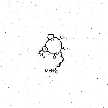 C/C=C1\CC2CC(=O)OC(/C=C/C=C\C=C\CC(=O)NC)C(C)/C=C/C(C)CC3CCCC(CC(C1)O2)O3